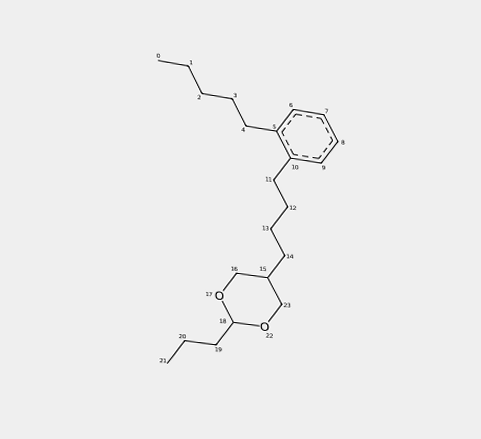 CCCCCc1ccccc1CCCCC1COC(CCC)OC1